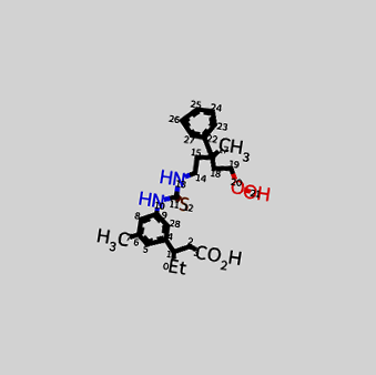 CCC(CC(=O)O)c1cc(C)cc(NC(=S)NCCC(C)(CCOO)c2ccccc2)c1